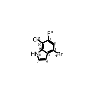 Fc1cc(Br)c2cc[nH]c2c1Cl